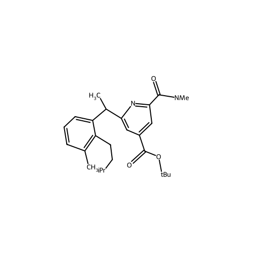 CNC(=O)c1cc(C(=O)OC(C)(C)C)cc(C(C)c2cccc(C)c2CCC(C)C)n1